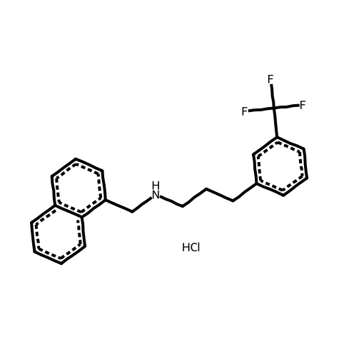 Cl.FC(F)(F)c1cccc(CCCNCc2cccc3ccccc23)c1